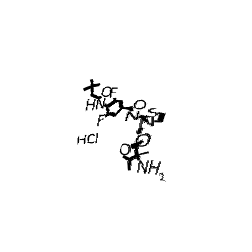 CC(C)[C@@](C)(N)C(=O)OCn1ccs/c1=N\C(=O)c1cc(F)c(NC(=O)CC(C)(C)C)c(F)c1.Cl